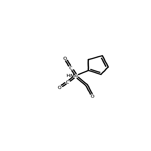 O=[C]=[MoH](=[C]=O)(=[C]=O)[C]1=CC=CC1